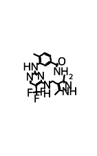 Cc1ccc(C(N)=O)cc1Nc1ncc(C(F)(F)F)c(NCc2c(C)n[nH]c2C)n1